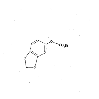 CCOC(=O)Oc1ccc2c(c1)SCO2